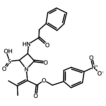 CC(C)=C(C(=O)OCc1ccc([N+](=O)[O-])cc1)N1C(=O)C(NC(=O)Cc2ccccc2)C1S(=O)O